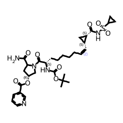 CC(C)(C)OC(=O)N[C@@H](CCCCC/C=C\[C@@H]1C[C@@H]1C(=O)NS(=O)(=O)C1CC1)C(=O)N1C[C@H](OC(=O)c2cccnc2)CC1C(N)=O